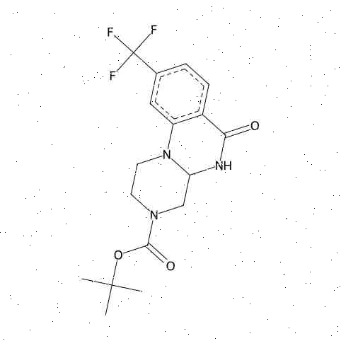 CC(C)(C)OC(=O)N1CCN2c3cc(C(F)(F)F)ccc3C(=O)NC2C1